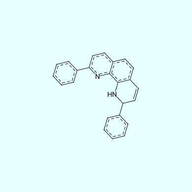 C1=CC(c2ccccc2)Nc2c1ccc1ccc(-c3ccccc3)nc21